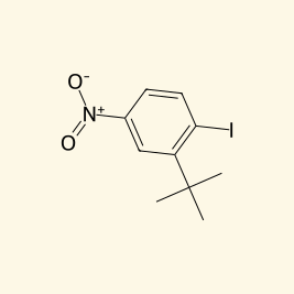 CC(C)(C)c1cc([N+](=O)[O-])ccc1I